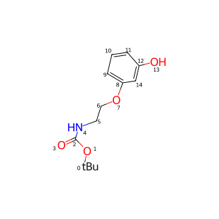 CC(C)(C)OC(=O)NCCOc1cccc(O)c1